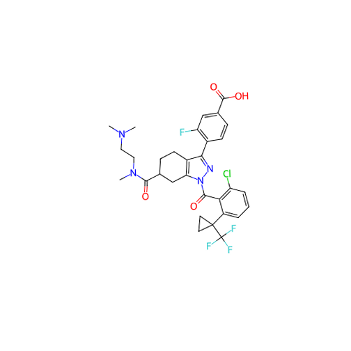 CN(C)CCN(C)C(=O)C1CCc2c(-c3ccc(C(=O)O)cc3F)nn(C(=O)c3c(Cl)cccc3C3(C(F)(F)F)CC3)c2C1